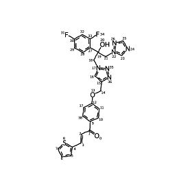 O=C(C=Cc1cccs1)c1ccc(OCc2cn(CC(O)(Cn3cncn3)c3ccc(F)cc3F)nn2)cc1